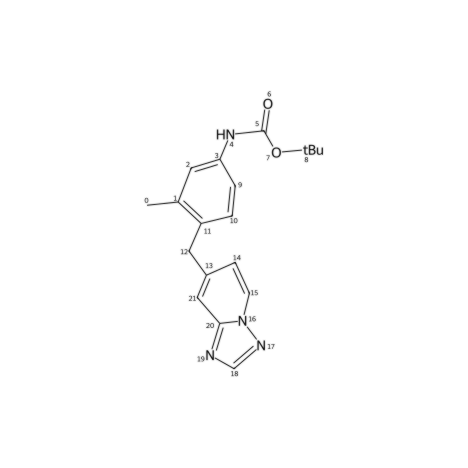 Cc1cc(NC(=O)OC(C)(C)C)ccc1Cc1ccn2ncnc2c1